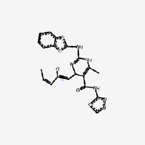 C/C=C\C(Cl)=C\C1N=C(Nc2nc3ccccc3o2)NC(C)=C1C(=O)Nc1nncs1